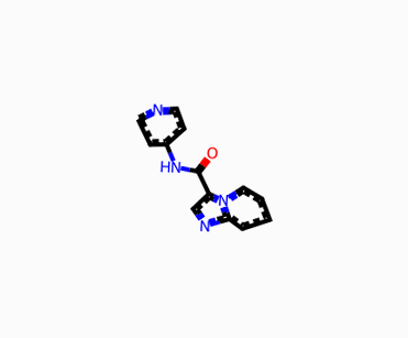 O=C(Nc1ccncc1)c1cnc2ccccn12